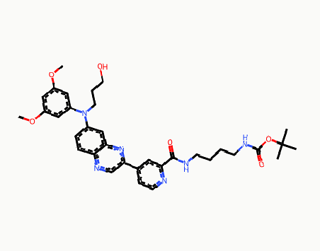 COc1cc(OC)cc(N(CCCO)c2ccc3ncc(-c4ccnc(C(=O)NCCCCNC(=O)OC(C)(C)C)c4)nc3c2)c1